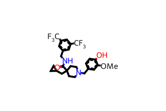 COc1cc(CN2CCC(CC3CC3)(C(=O)NCc3cc(C(F)(F)F)cc(C(F)(F)F)c3)CC2)ccc1O